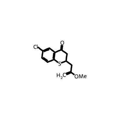 C=C(CC1CC(=O)c2cc(Cl)ccc2S1)OC